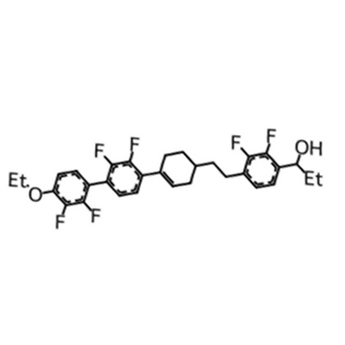 CCOc1ccc(-c2ccc(C3=CCC(CCc4ccc(C(O)CC)c(F)c4F)CC3)c(F)c2F)c(F)c1F